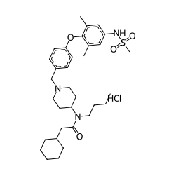 CCCCN(C(=O)CC1CCCCC1)C1CCN(Cc2ccc(Oc3c(C)cc(NS(C)(=O)=O)cc3C)cc2)CC1.Cl